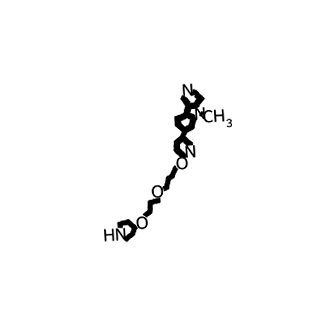 Cn1c2ccncc2c2ccc(-c3ccc(OCCCCOCCCCOC4CCNCC4)nc3)cc21